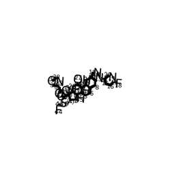 C[C@@H]1C[C@H]2[C@@H]3CCC4=Cc5c(cnn5-c5ccc(F)nc5)C[C@]4(C)[C@@]3(F)[C@@H](O)C[C@]2(C)[C@@]1(OC(=O)c1cocn1)C(=O)SCF